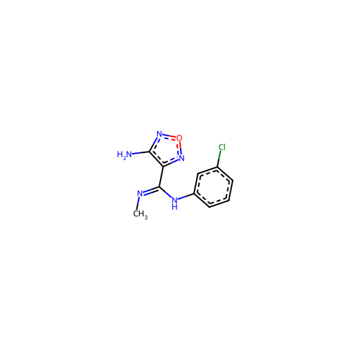 C/N=C(\Nc1cccc(Cl)c1)c1nonc1N